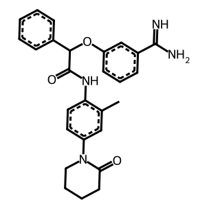 Cc1cc(N2CCCCC2=O)ccc1NC(=O)C(Oc1cccc(C(=N)N)c1)c1ccccc1